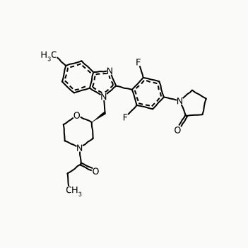 CCC(=O)N1CCO[C@@H](Cn2c(-c3c(F)cc(N4CCCC4=O)cc3F)nc3cc(C)ccc32)C1